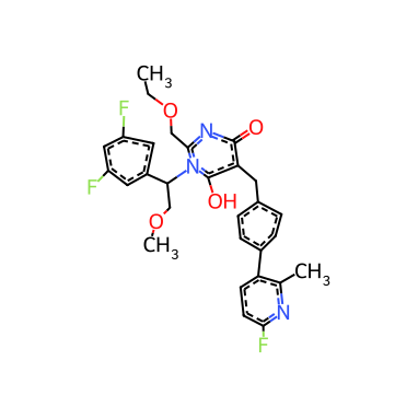 CCOCc1nc(=O)c(Cc2ccc(-c3ccc(F)nc3C)cc2)c(O)n1C(COC)c1cc(F)cc(F)c1